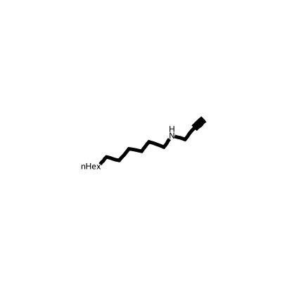 C#CCNCCCCCCCCCCCC